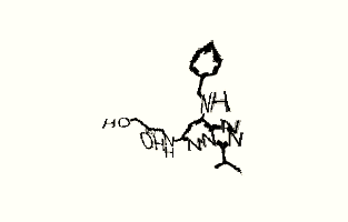 CC(C)c1nnc2c(NCc3ccccc3)cc(NC[C@H](O)CO)nn12